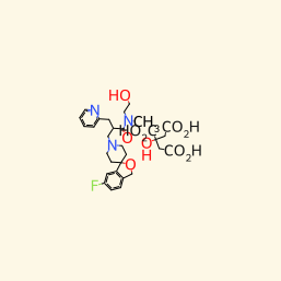 CN(CCO)C(=O)C(Cc1ccccn1)CN1CCC2(CC1)OCc1ccc(F)cc12.O=C(O)CC(O)(CC(=O)O)C(=O)O